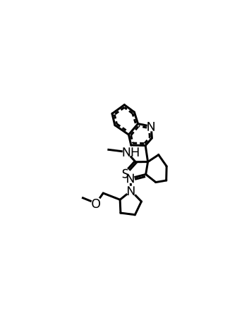 CNC(=S)C1(c2cnc3ccccc3c2)CCCCC1=NN1CCCC1COC